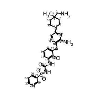 CC1(CN)CCN(c2cnc(Sc3cccc(NC(=O)NS(=O)(=O)c4cccnc4)c3Cl)c(N)n2)CC1